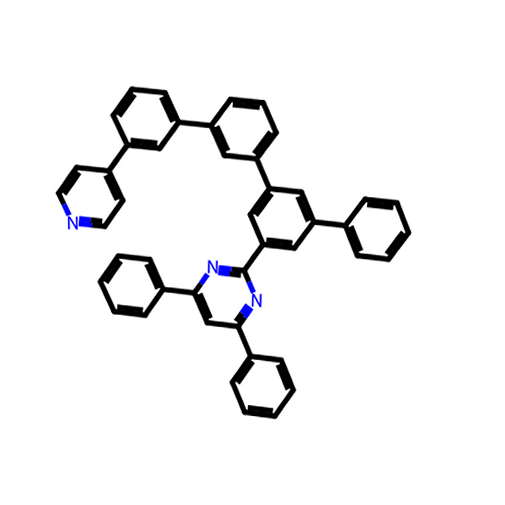 c1ccc(-c2cc(-c3cccc(-c4cccc(-c5ccncc5)c4)c3)cc(-c3nc(-c4ccccc4)cc(-c4ccccc4)n3)c2)cc1